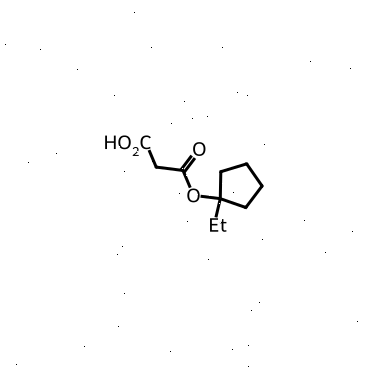 CCC1(OC(=O)CC(=O)O)CCCC1